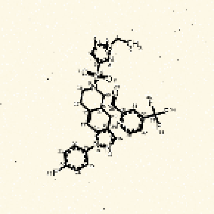 CCn1ncc(S(=O)(=O)N2CCC3=Cc4c(cnn4-c4ccc(F)cc4)C[C@]3(C(=O)c3cc(C(F)(F)F)ccn3)C2)n1